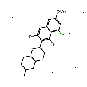 COc1cc(F)c2c(F)c(C3CCC4CC(C)CCC4C3)c(F)cc2c1